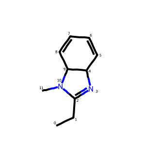 CCC1=NC2C=CC=CC2N1C